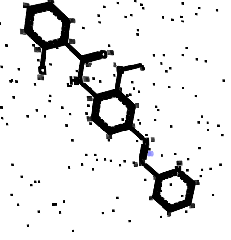 COc1cc(/N=N/c2ccccn2)ccc1NC(=O)c1ccccc1Cl